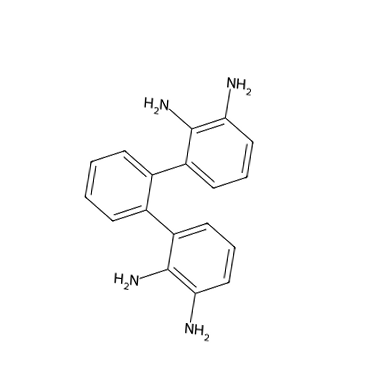 Nc1cccc(-c2ccccc2-c2cccc(N)c2N)c1N